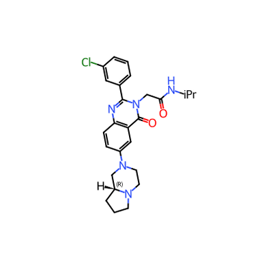 CC(C)NC(=O)Cn1c(-c2cccc(Cl)c2)nc2ccc(N3CCN4CCC[C@@H]4C3)cc2c1=O